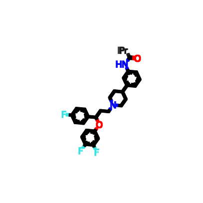 CC(C)C(=O)Nc1cccc(C2CCN(CCC(Oc3ccc(F)c(F)c3)c3ccc(F)cc3)CC2)c1